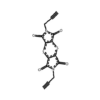 C#CCn1c(=O)c2sc3c(=O)n(CC#C)c(=O)c3sc2c1=O